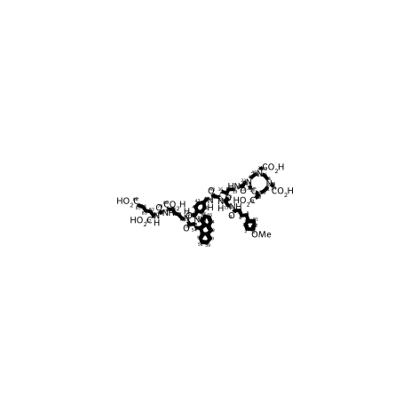 COc1ccc(CCCC(=O)NCC(=O)N[C@@H](CCCCNC(=O)CN2CCN(CC(=O)O)CCN(CC(=O)O)CCN(CC(=O)O)CC2)C(=O)NCC2CCC(C(=O)N[C@@H](Cc3c4ccccc4cc4ccccc34)C(=O)NCCCC[C@H](NC(=O)N[C@@H](CCCCC(=O)O)C(=O)O)C(=O)O)CC2)cc1